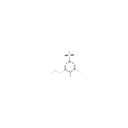 CCOC(=O)CNc1nc(S(C)(=O)=O)nc(N)c1[N+](=O)[O-]